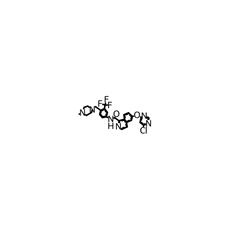 CN1CCN(Cc2ccc(NC(=O)c3nccc4cc(Oc5cc(Cl)ncn5)ccc34)cc2C(F)(F)F)CC1